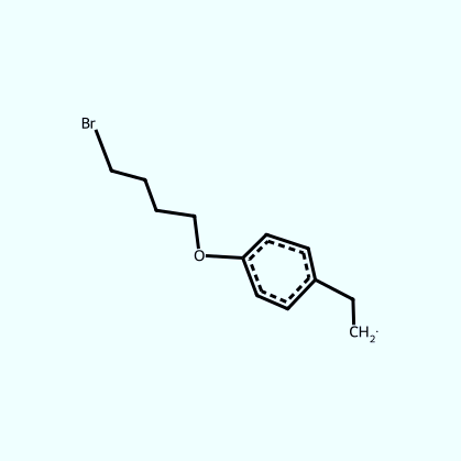 [CH2]Cc1ccc(OCCCCBr)cc1